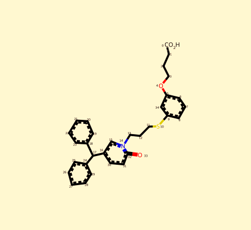 O=C(O)CCCOc1cccc(SCCCn2cc(C(c3ccccc3)c3ccccc3)ccc2=O)c1